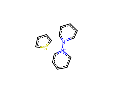 c1cc[n+](-[n+]2ccccc2)cc1.c1ccsc1